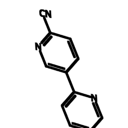 N#Cc1ccc(-c2cc[c]cn2)cn1